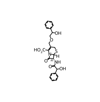 O=C(O)C1=C(COCC(O)c2ccccc2)CS[C@H]2[C@H](NC(=O)C(O)c3ccccc3)C(=O)N12